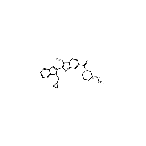 Cc1c(-c2cc3ccccc3n2CC2CC2)nc2cc(C(=O)N3CCC[C@@H](NC(=O)O)C3)ccn12